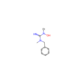 CCN(O)C(=N)N(C)Cc1ccccc1